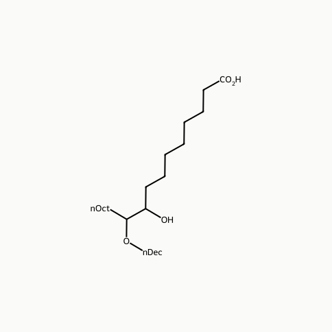 CCCCCCCCCCOC(CCCCCCCC)C(O)CCCCCCCC(=O)O